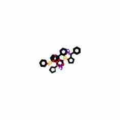 CN(C)[C@H](c1ccccc1)C1CCCC1P(c1ccccc1)c1ccccc1-c1cccc([C@H]([C@H]2CCCC2P(c2ccccc2)c2ccccc2)N(C)C)c1